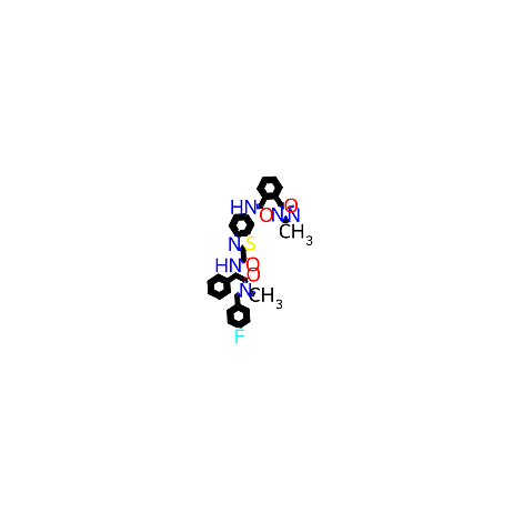 Cc1noc(-c2ccccc2C(=O)Nc2ccc3nc(C(=O)N[C@H](C(=O)N(C)Cc4ccc(F)cc4)c4ccccc4)sc3c2)n1